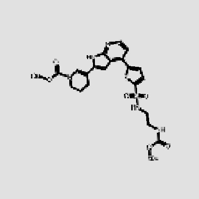 CC(C)(C)OC(=O)NCCNS(=O)(=O)c1ccc(-c2ccnc3[nH]c(C4=CN(C(=O)OC(C)(C)C)CCC4)cc23)s1